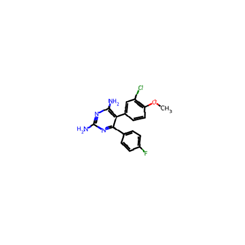 COc1ccc(-c2c(N)nc(N)nc2-c2ccc(F)cc2)cc1Cl